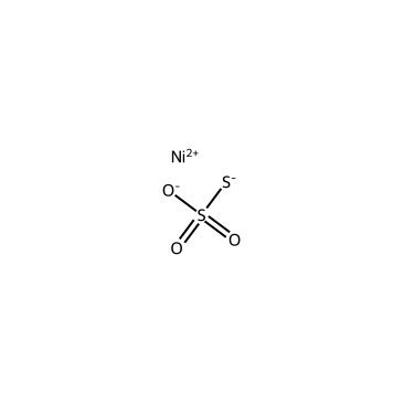 O=S(=O)([O-])[S-].[Ni+2]